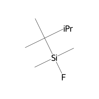 CC(C)C(C)(C)[Si](C)(C)F